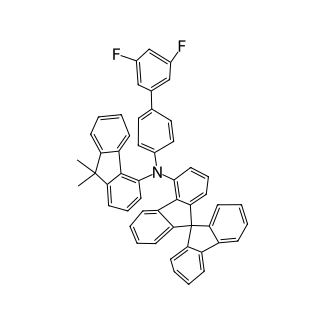 CC1(C)c2ccccc2-c2c(N(c3ccc(-c4cc(F)cc(F)c4)cc3)c3cccc4c3-c3ccccc3C43c4ccccc4-c4ccccc43)cccc21